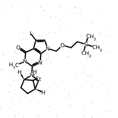 CC[C@H]1[C@H]2CC[C@@H]1N(c1nc3c(c(I)cn3COCC[Si](C)(C)C)c(=O)n1C)C2